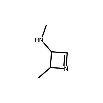 CNC1C=NC1C